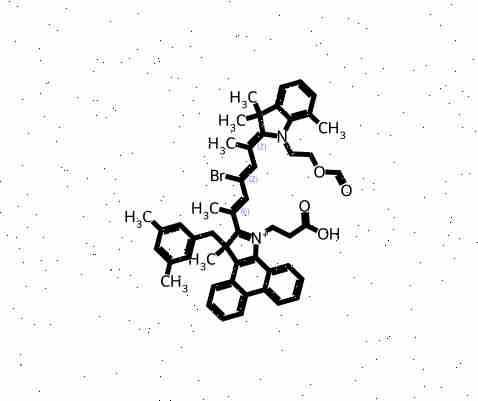 CC(/C=C(Br)/C=C(\C)C1=[N+](CCC(=O)O)c2c(c3ccccc3c3ccccc23)C1(C)Cc1cc(C)cc(C)c1)=C1/N(CCOC=O)c2c(C)cccc2C1(C)C